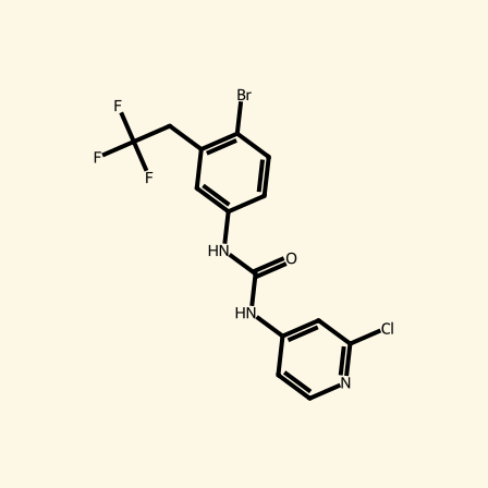 O=C(Nc1ccnc(Cl)c1)Nc1ccc(Br)c(CC(F)(F)F)c1